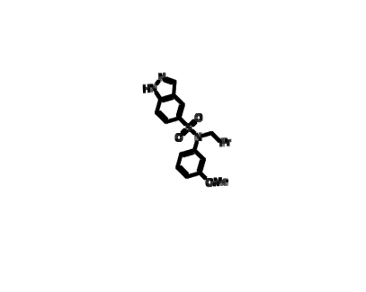 COc1cccc(N(CC(C)C)S(=O)(=O)c2ccc3[nH]ncc3c2)c1